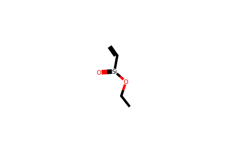 C=C[Si](=O)OCC